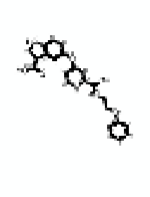 O=C(NCCOc1ccccc1)c1cc(Oc2ccc3c(c2)C(C(=O)O)CN3)ccn1